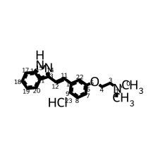 CN(C)CCOc1cccc(/C=C/c2n[nH]c3ccccc23)c1.Cl